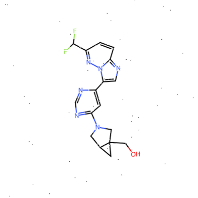 OCC12CC1CN(c1cc(-c3cnc4ccc(C(F)F)nn34)ncn1)C2